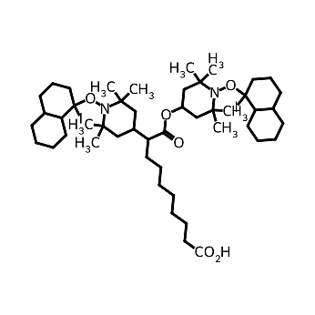 CC1(C)CC(OC(=O)C(CCCCCCCC(=O)O)C2CC(C)(C)N(OC3(I)CCCC4CCCCC43)C(C)(C)C2)CC(C)(C)N1OC1(I)CCCC2CCCCC21